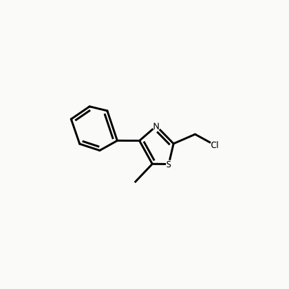 Cc1sc(CCl)nc1-c1ccccc1